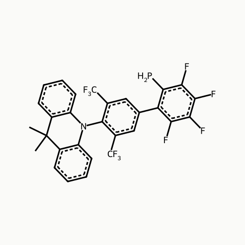 CC1(C)c2ccccc2N(c2c(C(F)(F)F)cc(-c3c(F)c(F)c(F)c(F)c3P)cc2C(F)(F)F)c2ccccc21